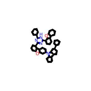 c1ccc(C2=NC(c3cccc4oc5cc(-n6c7ccccc7c7ccc(-c8ccccc8)cc76)ccc5c34)=NC(c3cccc4c3oc3ccccc34)N2)cc1